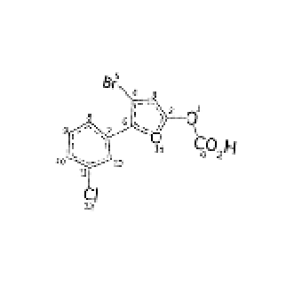 O=C(O)Oc1cc(Br)c(-c2cccc(Cl)c2)o1